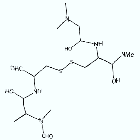 CNC(O)C(CSSCC(C=O)NC(O)C(C)N(C)C=O)NC(O)CN(C)C